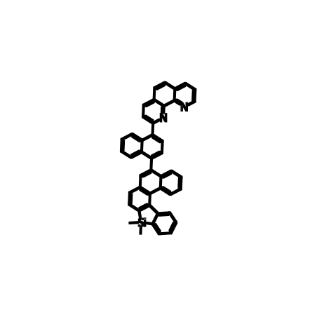 C[Si]1(C)c2ccccc2-c2c1ccc1cc(-c3ccc(-c4ccc5ccc6cccnc6c5n4)c4ccccc34)c3ccccc3c21